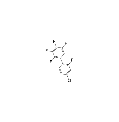 Fc1cc(Cl)ccc1-c1cc(F)c(F)c(F)c1F